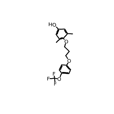 Cc1cc(O)cc(C)c1OCCCOc1ccc(OC(F)(F)F)cc1